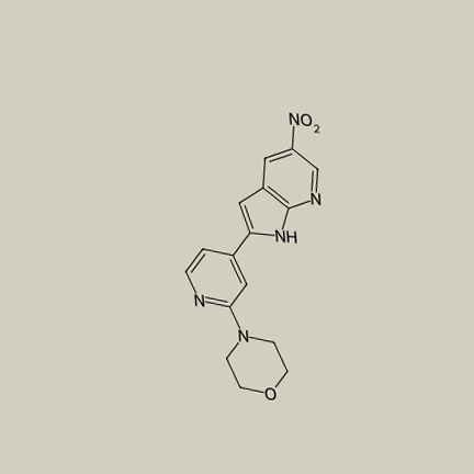 O=[N+]([O-])c1cnc2[nH]c(-c3ccnc(N4CCOCC4)c3)cc2c1